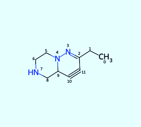 CCC1=NN2CCNCC2C#C1